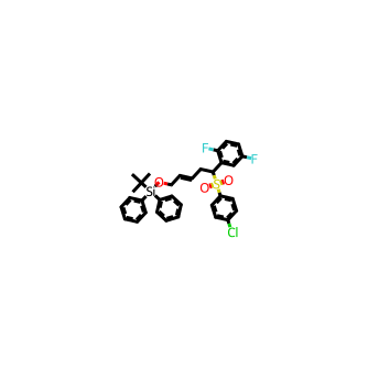 CC(C)(C)[Si](OCC=CCC(c1cc(F)ccc1F)S(=O)(=O)c1ccc(Cl)cc1)(c1ccccc1)c1ccccc1